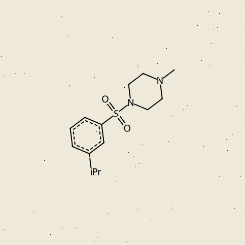 CC(C)c1cccc(S(=O)(=O)N2CCN(C)CC2)c1